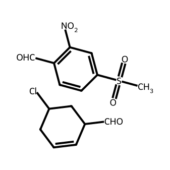 CS(=O)(=O)c1ccc(C=O)c([N+](=O)[O-])c1.O=CC1C=CCC(Cl)C1